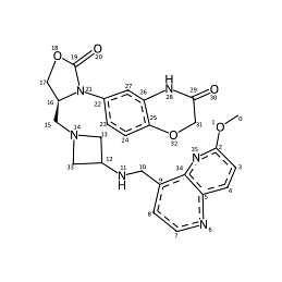 COc1ccc2nccc(CNC3CN(C[C@H]4COC(=O)N4c4ccc5c(c4)NC(=O)CO5)C3)c2n1